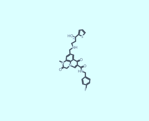 CN1C(=O)Cn2cc(C(=O)NCc3ccc(F)cc3)c(=O)c3cc(CNCC[C@@H](O)c4cccs4)cc1c32